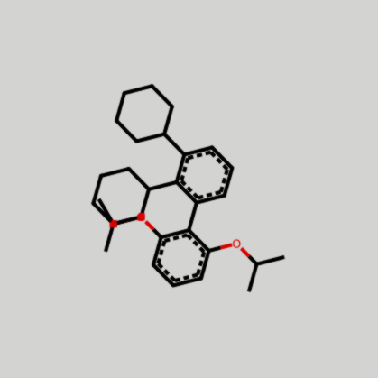 CC(C)Oc1cccc(OC(C)C)c1-c1cccc(C2CCCCC2)c1C1CCCCC1